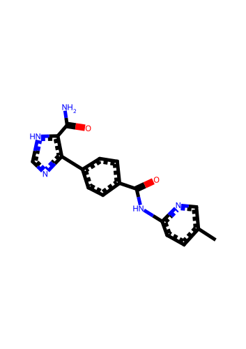 Cc1ccc(NC(=O)c2ccc(-c3nc[nH]c3C(N)=O)cc2)nc1